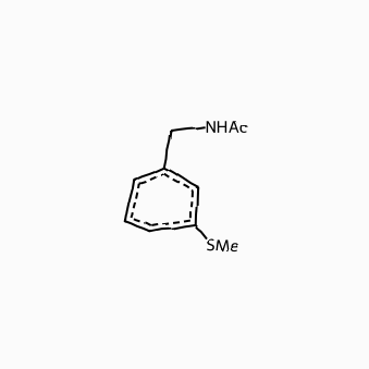 CSc1cccc(CNC(C)=O)c1